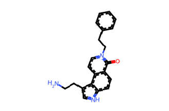 NCCc1c[nH]c2ccc3c(=O)n(CCc4ccccc4)ccc3c12